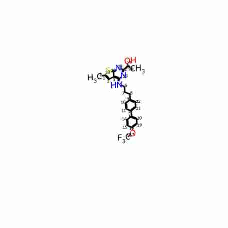 Cc1cc2c(NCCCc3ccc(-c4ccc(OC(F)(F)F)cc4)cc3)nc(C(C)O)nc2s1